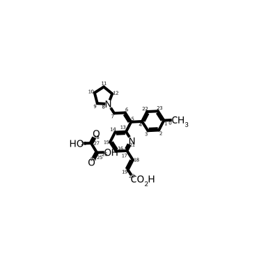 Cc1ccc(C(=CCN2CCCC2)c2cccc(C=CC(=O)O)n2)cc1.O=C(O)C(=O)O